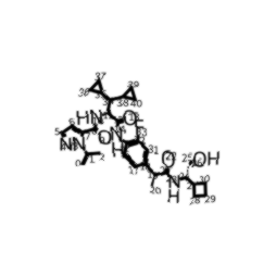 CC(C)n1nccc1C(=O)N[C@H](C(=O)Nc1ccc([C@H](C)C(=O)N[C@H](CO)C2CCC2)cc1F)C(C1CC1)C1CC1